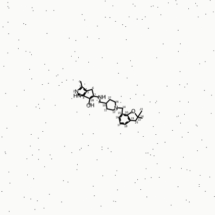 Cc1n[nH]c2c1CC(NCC1CCN(Cc3cccc4c3OC(C)(C)C4)CC1)=C2O